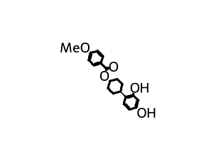 COc1ccc(C(=O)O[C@H]2CC[C@H](c3ccc(O)cc3O)CC2)cc1